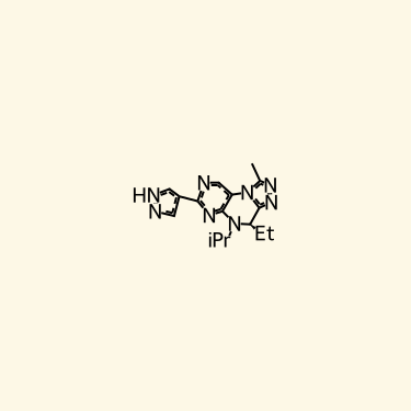 CC[C@@H]1c2nnc(C)n2-c2cnc(-c3cn[nH]c3)nc2N1C(C)C